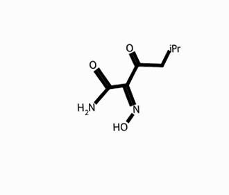 CC(C)CC(=O)C(=NO)C(N)=O